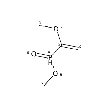 C=C(OC)[PH](=O)OC